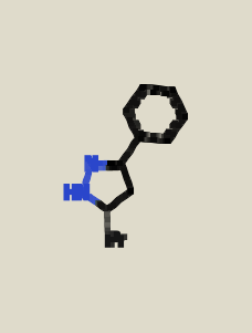 CC(C)C1CC(c2ccccc2)=NN1